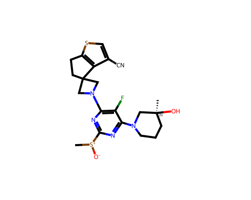 C[S+]([O-])c1nc(N2CC3(CCc4scc(C#N)c43)C2)c(F)c(N2CCC[C@](C)(O)C2)n1